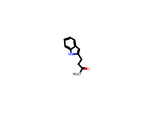 COC(=O)CCc1cc2cc[c]cc2[nH]1